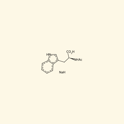 CC(=O)N[C@@H](Cc1c[nH]c2ccccc12)C(=O)O.[NaH]